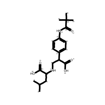 CC(C)CC(NCC(C(=O)O)c1ccc(NC(=O)C(C)(C)C)cc1)C(=O)O